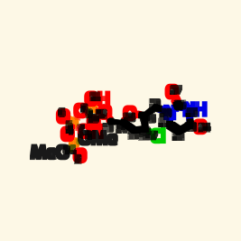 COP(=O)(OC)OP(=O)(O)OP(=O)(O)OC[C@@H]1C[C@H](Cl)[C@H](Cn2ccc(=O)[nH]c2=O)O1